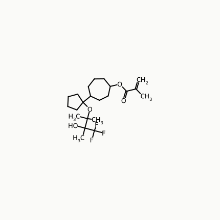 C=C(C)C(=O)OC1CCCC(C2(OC(C)(C)C(C)(O)C(F)(F)F)CCCC2)CC1